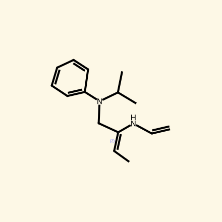 C=CN/C(=C\C)CN(c1ccccc1)C(C)C